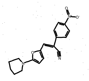 N#CC(=Cc1ccc(N2CCCCC2)o1)c1ccc([N+](=O)[O-])cc1